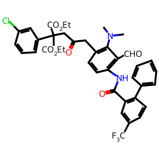 CCOC(=O)C(CC(=O)Cc1ccc(NC(=O)c2cc(C(F)(F)F)ccc2-c2ccccc2)c(C=O)c1N(C)C)(C(=O)OCC)c1cccc(Cl)c1